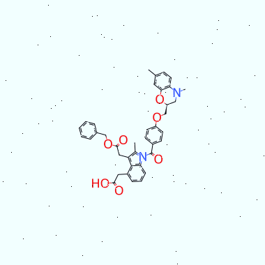 Cc1ccc2c(c1)O[C@H](COc1ccc(C(=O)n3c(C)c(CC(=O)OCc4ccccc4)c4c(CC(=O)O)cccc43)cc1)CN2C